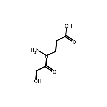 NN(CCC(=O)O)C(=O)CO